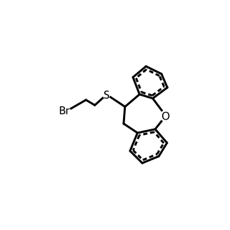 BrCCSC1Cc2ccccc2Oc2ccccc21